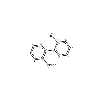 CCCCCc1ccccc1-c1ccccc1O